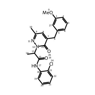 COc1cccc(Cc2cc(C)nn(C(C)C(=O)Nc3ccccc3Cl)c2=O)c1